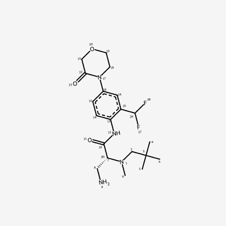 CN(CC(C)(C)C)[C@H](CN)C(=O)Nc1ccc(N2CCOCC2=O)cc1C(F)F